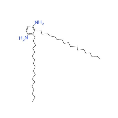 CCCCCCCCCCCCCCCCCCc1c(N)ccc(N)c1CCCCCCCCCCCCCCCCCC